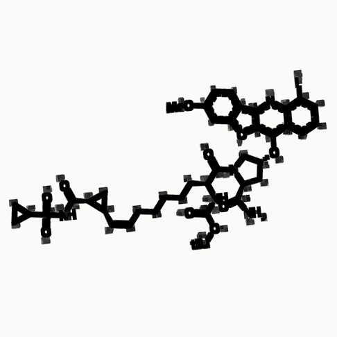 COc1ccc2c(c1)oc1c(O[C@@H]3C[C@@H](C(N)=O)N(C(=O)[C@H](CCCCC/C=C\[C@@H]4C[C@@H]4C(=O)NS(=O)(=O)C4CC4)NC(=O)OC(C)(C)C)C3)c3cccc(F)c3nc12